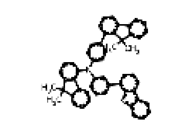 CC1(C)c2ccccc2-c2c(N(c3ccc(-c4cccc5c4C(C)(C)c4ccccc4-5)cc3)c3cccc(-c4cccc5c4sc4ccccc45)c3)cccc21